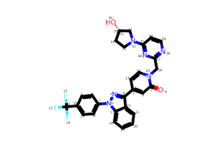 O=c1cc(-c2nn(-c3ccc(C(F)(F)F)cc3)c3ccccc23)ccn1Cc1nccc(N2CC[C@H](O)C2)n1